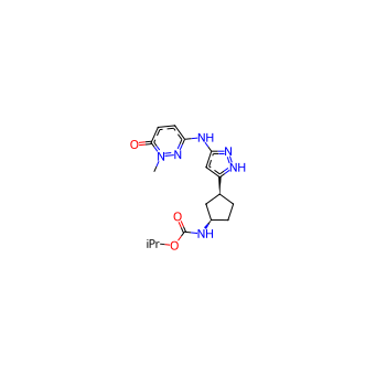 CC(C)OC(=O)N[C@@H]1CC[C@H](c2cc(Nc3ccc(=O)n(C)n3)n[nH]2)C1